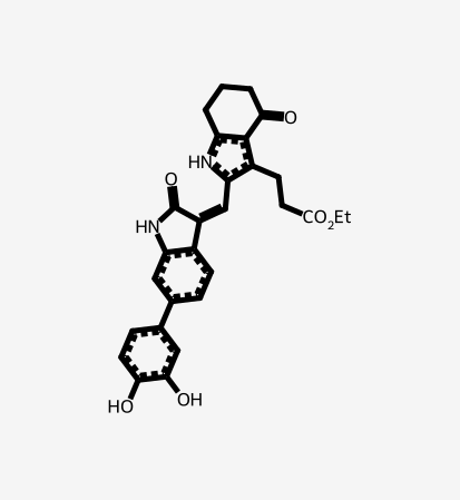 CCOC(=O)CCc1c(C=C2C(=O)Nc3cc(-c4ccc(O)c(O)c4)ccc32)[nH]c2c1C(=O)CCC2